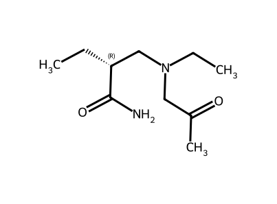 CC[C@H](CN(CC)CC(C)=O)C(N)=O